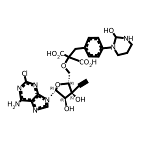 C#C[C@@]1(O)[C@@H](COC(Cc2ccc(N3CCCNC3O)cc2)(C(=O)O)C(=O)O)O[C@@H](n2cnc3c(N)nc(Cl)nc32)[C@@H]1O